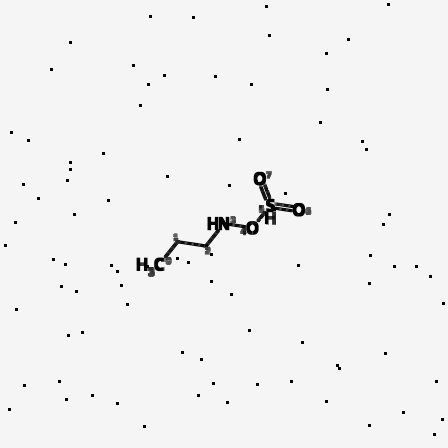 CCCNO[SH](=O)=O